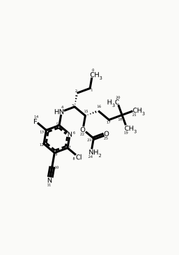 CCC[C@@H](Nc1nc(Cl)c(C#N)cc1F)[C@H](CCC(C)(C)C)OC(N)=O